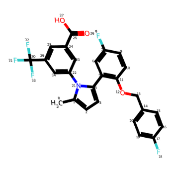 Cc1ccc(-c2cc(F)ccc2OCc2ccc(F)cc2)n1-c1cc(C(=O)O)cc(C(F)(F)F)c1